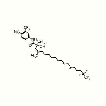 CN(CCCCCCCCCSCCCC(F)(F)C(F)(F)F)C[C@](C)(O)C(=O)Nc1ccc(C#N)c(C(F)(F)F)c1